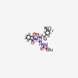 CC(C)(C)OC(=O)NCCC[C@@H](C(=O)NCC(=O)c1cccc([N+](=O)[O-])c1)N1C(=O)c2ccccc2C1=O